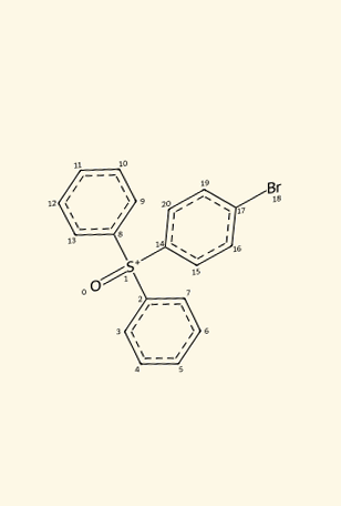 O=[S+](c1ccccc1)(c1ccccc1)c1ccc(Br)cc1